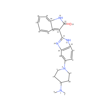 CN(C)C1CCN(c2ccc3[nH]c(-c4c5cccccc-5[nH]c4=O)nc3c2)CC1